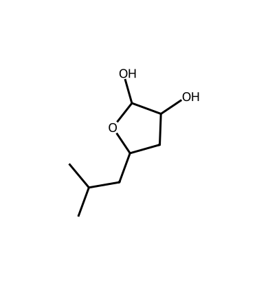 CC(C)CC1CC(O)C(O)O1